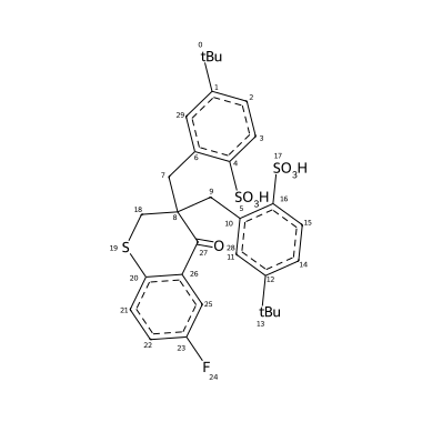 CC(C)(C)c1ccc(S(=O)(=O)O)c(CC2(Cc3cc(C(C)(C)C)ccc3S(=O)(=O)O)CSc3ccc(F)cc3C2=O)c1